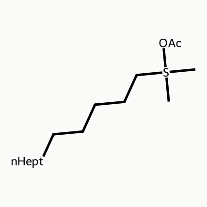 CCCCCCCCCCCCS(C)(C)OC(C)=O